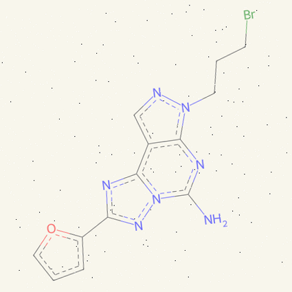 Nc1nc2c(cnn2CCCBr)c2nc(-c3ccco3)nn12